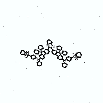 c1ccc(N(c2ccc(-c3nc4ccccc4o3)cc2)c2ccc3c(c2)C(c2ccccc2)(c2ccccc2)c2cc(-c4nc5ccccc5nc4-c4ccc5c(c4)C(c4ccccc4)(c4ccccc4)c4cc(N(c6ccccc6)c6ccc(-c7nc8ccccc8o7)cc6)ccc4-5)ccc2-3)cc1